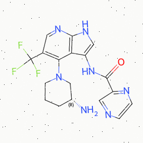 N[C@@H]1CCCN(c2c(C(F)(F)F)cnc3[nH]cc(NC(=O)c4cnccn4)c23)C1